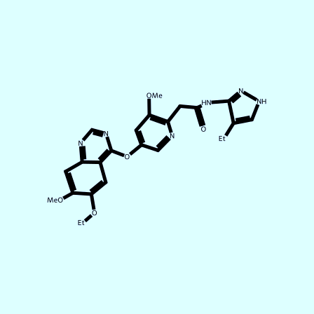 CCOc1cc2c(Oc3cnc(CC(=O)Nc4n[nH]cc4CC)c(OC)c3)ncnc2cc1OC